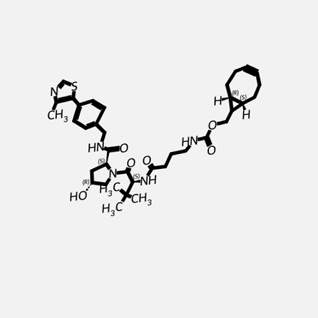 Cc1ncsc1-c1ccc(CNC(=O)[C@@H]2C[C@@H](O)CN2C(=O)[C@@H](NC(=O)CCCNC(=O)OCC2[C@H]3CCC#CCC[C@@H]23)C(C)(C)C)cc1